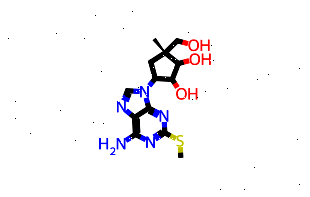 CSc1nc(N)c2ncn(C3C[C@](C)(CO)C(O)C3O)c2n1